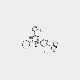 CCn1nccc1C(=O)N[C@H](C(=O)Nc1ccc(-c2c(C)noc2C)nc1)C1CCCCCC1